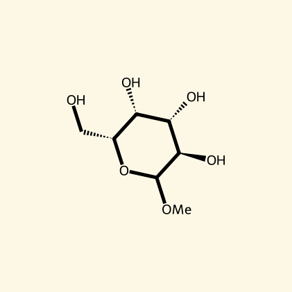 COC1O[C@H](CO)[C@H](O)[C@H](O)[C@H]1O